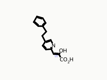 O=C(O)/C(O)=C/c1ccc(CCc2ccccc2)cn1